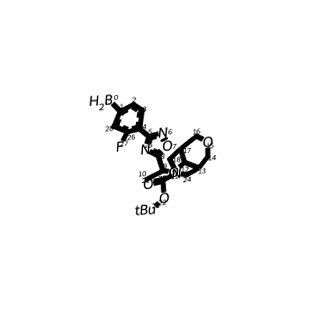 Bc1ccc(-c2noc(C(C)OC3C4COCC3CN(C(=O)OC(C)(C)C)C4)n2)c(F)c1